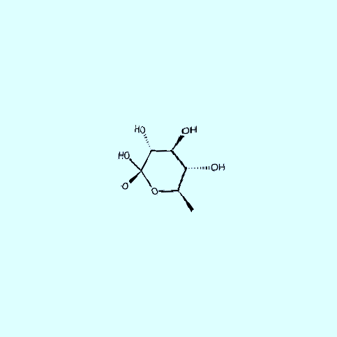 C[C@H]1O[C@]([O])(O)[C@H](O)[C@@H](O)[C@@H]1O